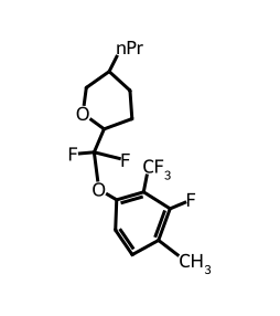 CCCC1CCC(C(F)(F)Oc2ccc(C)c(F)c2C(F)(F)F)OC1